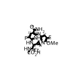 CC[C@H](NC(=O)O)[C@H](Nc1nc(Nc2cnc(OC)c(F)c2)c(C(N)=O)cc1F)C1CC1